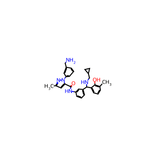 Cc1cc(C(=O)Nc2cccc(C(NCC3CC3)c3cccc(C)c3O)c2)n(-c2cccc(CN)c2)n1